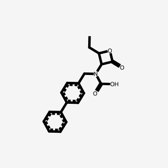 CCC1OC(=O)C1N(Cc1ccc(-c2ccccc2)cc1)C(=O)O